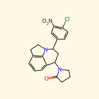 O=C1CCCN1C1CC(c2ccc(Cl)c([N+](=O)[O-])c2)N2CCc3cccc1c32